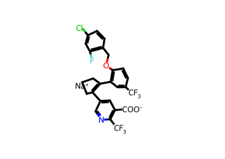 O=C([O-])c1cc(C2=C(c3cc(C(F)(F)F)ccc3OCc3ccc(Cl)cc3F)CCC2)cnc1C(F)(F)F.[Na+]